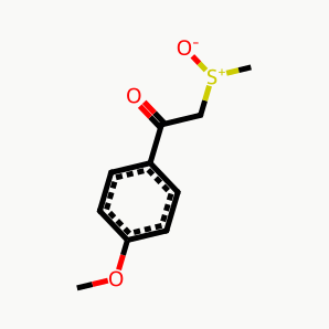 COc1ccc(C(=O)C[S+](C)[O-])cc1